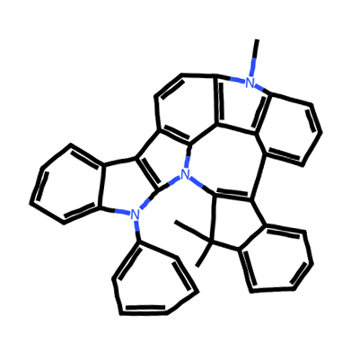 Cn1c2cccc3c4c(n5c6c(ccc1c6c32)c1c2ccccc2n(-c2ccccc2)c15)C(C)(C)c1ccccc1-4